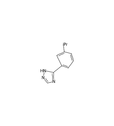 CC(C)c1cccc(-c2ncn[nH]2)c1